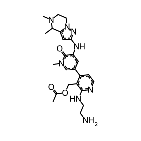 CC(=O)OCc1c(-c2cc(Nc3cc4n(n3)CCN(C)C4C)c(=O)n(C)c2)ccnc1NCCN